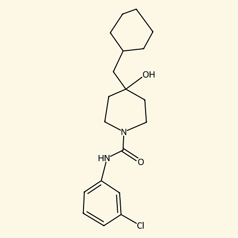 O=C(Nc1cccc(Cl)c1)N1CCC(O)(CC2CCCCC2)CC1